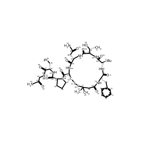 CC[C@H](C)[C@@H]1NC(=O)[C@H](Cc2ccccc2)NC(=O)CC(C)(C)SSC[C@@H](C(=O)N2CCC[C@H]2C(=O)N[C@@H](CC(C)C)C(=O)NCC(N)=O)NC(=O)[C@H](CC(N)=O)NC(=O)C([C@@H](C)O)NC1=O